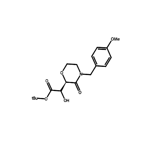 COc1ccc(CN2CCO[C@H](C(O)C(=O)OC(C)(C)C)C2=O)cc1